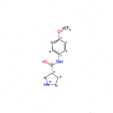 O=C(Nc1ccc(OC(F)(F)F)cc1)[C@@H]1CCNC1